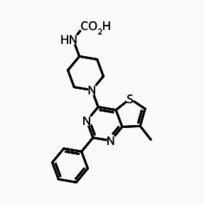 Cc1csc2c(N3CCC(NC(=O)O)CC3)nc(-c3ccccc3)nc12